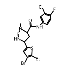 CCc1sc(C2CC(C(=O)Nc3ccc(F)c(Cl)c3)N(C)SN2)cc1Br